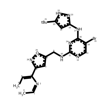 C/C=N\C(=C/C)c1cc(CNc2ncc(Br)c(Nc3cc(C(C)(C)C)[nH]n3)n2)on1